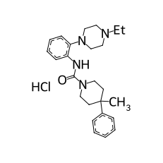 CCN1CCN(c2ccccc2NC(=O)N2CCC(C)(c3ccccc3)CC2)CC1.Cl